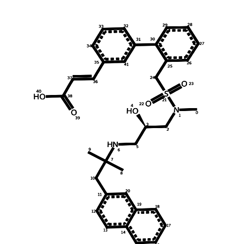 CN(C[C@H](O)CNC(C)(C)Cc1ccc2ccccc2c1)S(=O)(=O)Cc1ccccc1-c1cccc(/C=C/C(=O)O)c1